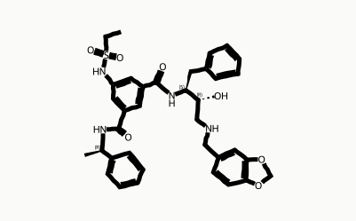 CCS(=O)(=O)Nc1cc(C(=O)N[C@@H](Cc2ccccc2)[C@H](O)CNCc2ccc3c(c2)OCO3)cc(C(=O)N[C@H](C)c2ccccc2)c1